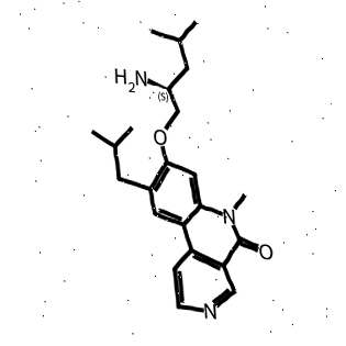 CC(C)Cc1cc2c3ccncc3c(=O)n(C)c2cc1OC[C@@H](N)CC(C)C